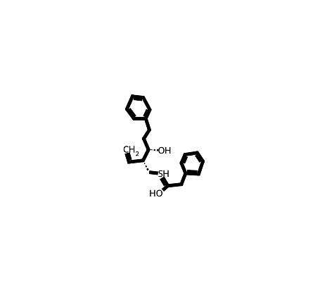 C=C[C@@H](C[SH]=C(O)Cc1ccccc1)[C@@H](O)CCc1ccccc1